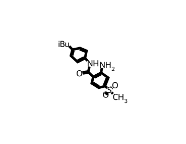 CCC(C)c1ccc(NC(=O)c2ccc(S(C)(=O)=O)cc2N)cc1